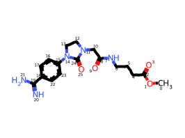 COC(=O)CCCNC(=O)CN1CCN(c2ccc(C(=N)N)cc2)C1=O